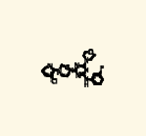 Fc1cccc(Nc2nc(N3CCOCC3)nc(N3CCN(c4ncccc4Cl)CC3)n2)c1